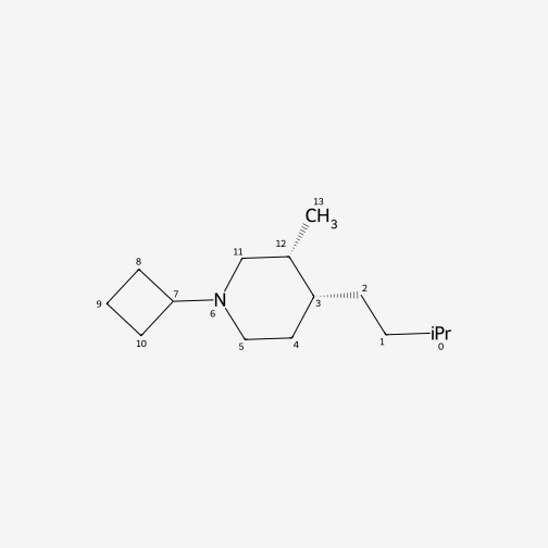 CC(C)CC[C@@H]1CCN(C2CCC2)C[C@@H]1C